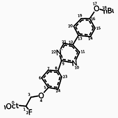 CCCCCCCCC(F)COc1ccc(-c2ncc(-c3ccc(OCCCC)cc3)cn2)cc1